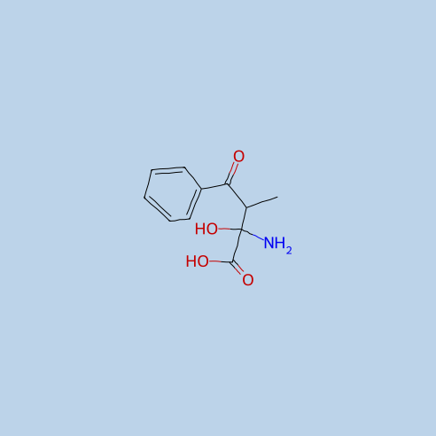 CC(C(=O)c1ccccc1)C(N)(O)C(=O)O